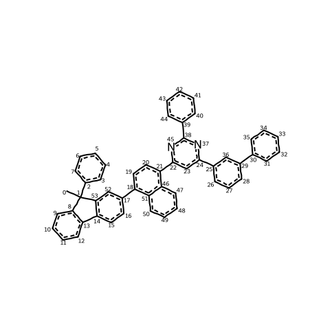 CC1(c2ccccc2)c2ccccc2-c2ccc(-c3ccc(-c4cc(-c5cccc(-c6ccccc6)c5)nc(-c5ccccc5)n4)c4ccccc34)cc21